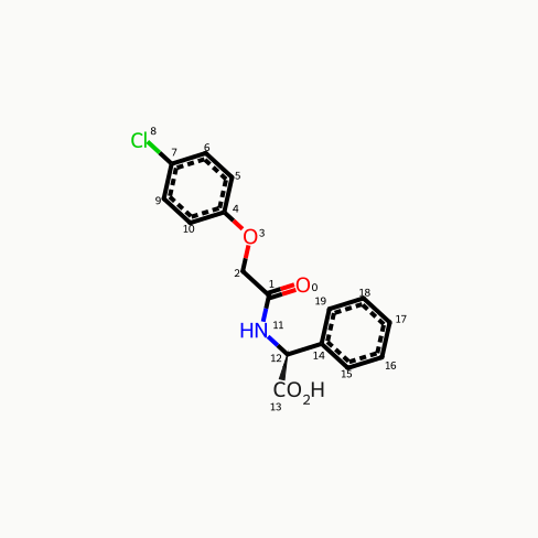 O=C(COc1ccc(Cl)cc1)N[C@H](C(=O)O)c1ccccc1